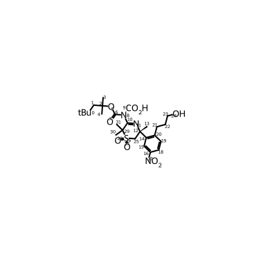 CC(C)(C)CC(C)(C)OC(=O)N(C(=O)O)C1=N[C@](C)(c2cc([N+](=O)[O-])ccc2CCCO)CS(=O)(=O)C1(C)C